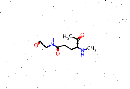 CNC(CCC(=O)NCC=O)C(C)=O